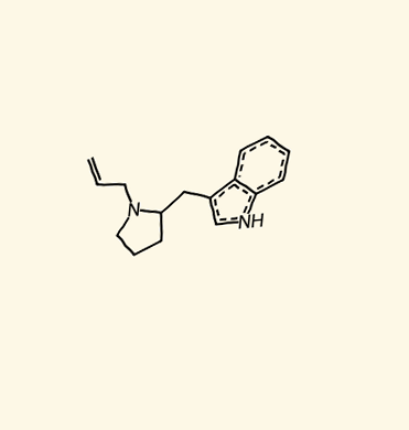 C=CCN1CCCC1Cc1c[nH]c2ccccc12